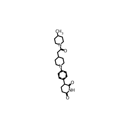 CC1CCN(C(=O)CC2CCN(c3ccc(C4CCC(=O)NC4=O)cc3)CC2)CC1